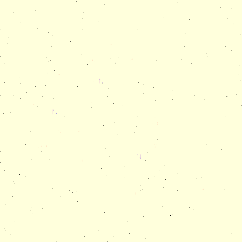 O=C1c2ccccc2C(=O)N1c1ccc(C(=O)N2CCCC2CN2CCCC2)cc1